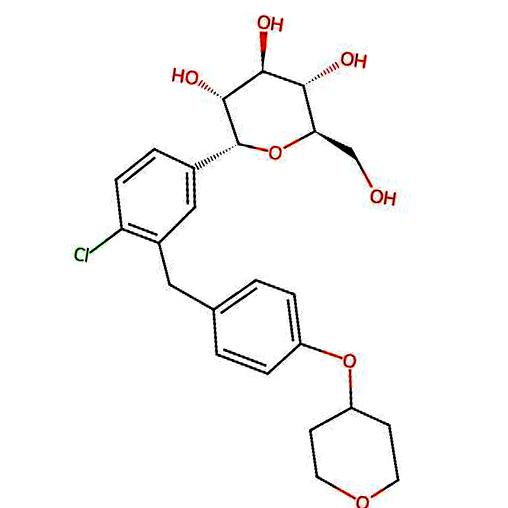 OC[C@H]1O[C@H](c2ccc(Cl)c(Cc3ccc(OC4CCOCC4)cc3)c2)[C@H](O)[C@@H](O)[C@@H]1O